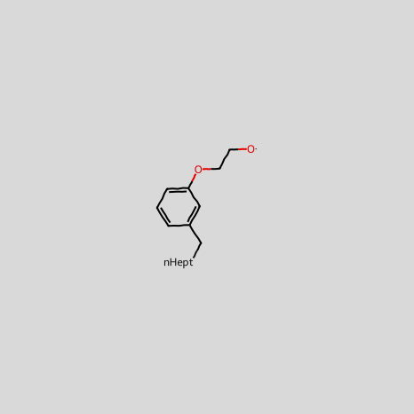 CCCCCCCCc1cccc(OCC[O])c1